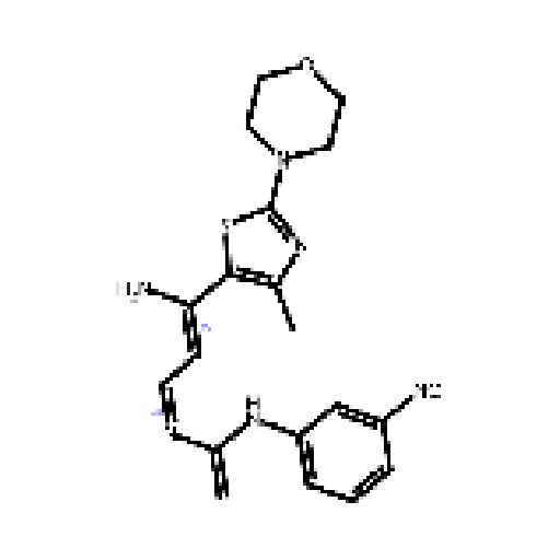 C=C(/N=C\C=C(/N)c1sc(N2CCOCC2)nc1C)Nc1cccc(N=O)c1